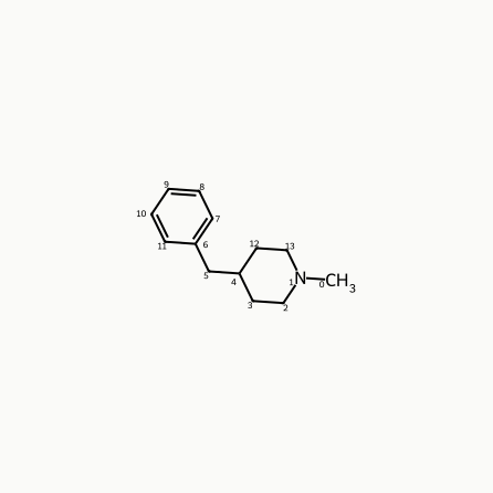 CN1CCC(Cc2ccccc2)CC1